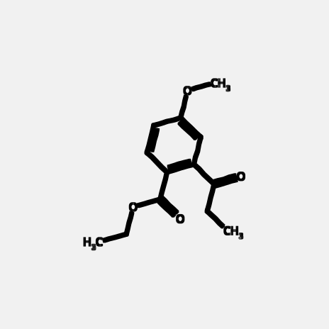 CCOC(=O)c1ccc(OC)cc1C(=O)CC